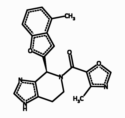 Cc1ncoc1C(=O)N1CCc2[nH]cnc2[C@H]1c1cc2c(C)cccc2o1